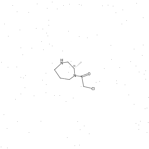 C[C@H]1CNCCCN1C(=O)CCl